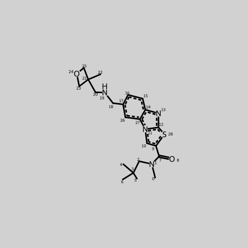 CN(CC(C)(C)C)C(=O)c1cn2c(nc3ccc(CNCC4(C)COC4)cc32)s1